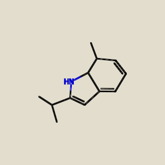 CC(C)C1=CC2=CC=CC(C)C2N1